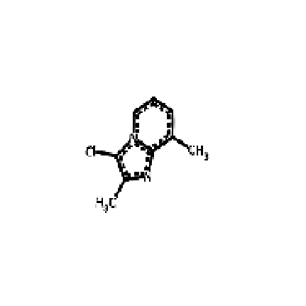 Cc1nc2c(C)cccn2c1Cl